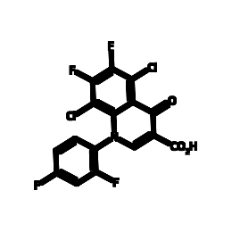 O=C(O)c1cn(-c2ccc(F)cc2F)c2c(Cl)c(F)c(F)c(Cl)c2c1=O